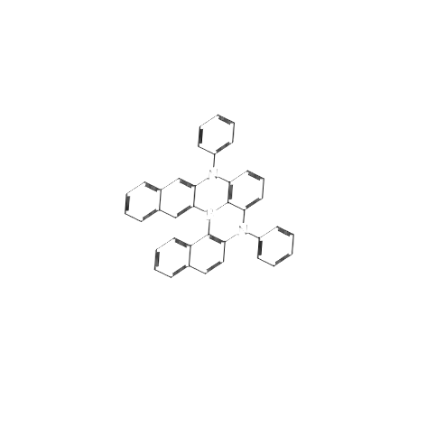 c1ccc(N2c3cc4ccccc4cc3B3c4c2cccc4N(c2ccccc2)c2ccc4ccccc4c23)cc1